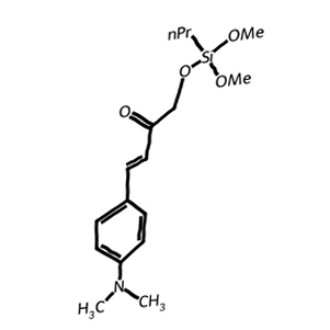 CCC[Si](OC)(OC)OCC(=O)C=Cc1ccc(N(C)C)cc1